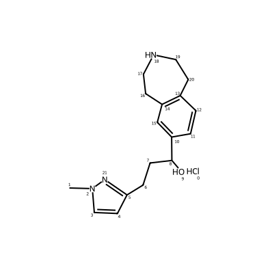 Cl.Cn1ccc(CCC(O)c2ccc3c(c2)CCNCC3)n1